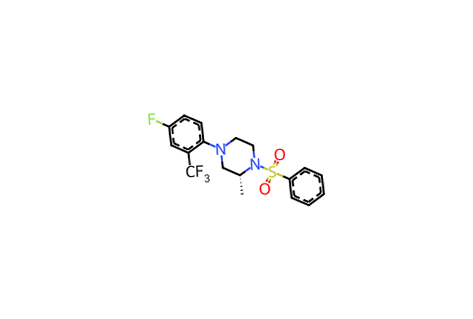 C[C@@H]1CN(c2ccc(F)cc2C(F)(F)F)CCN1S(=O)(=O)c1ccccc1